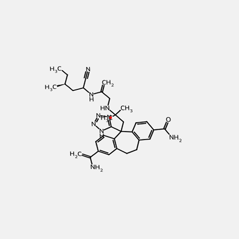 C=C(CNC(C)(C)CC1(c2nnn[nH]2)c2ccc(C(=C)N)cc2CCc2cc(C(N)=O)ccc21)NC(C#N)C[C@@H](C)CC